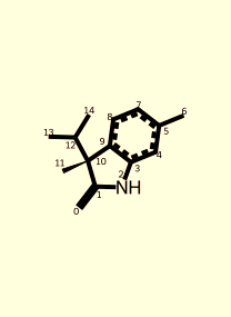 C=C1Nc2cc(C)ccc2[C@@]1(C)C(C)C